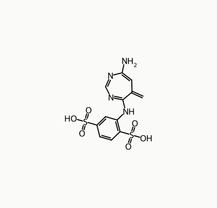 C=C1C=C(N)N=CN=C1Nc1cc(S(=O)(=O)O)ccc1S(=O)(=O)O